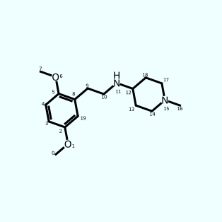 COc1ccc(OC)c(CCNC2CCN(C)CC2)c1